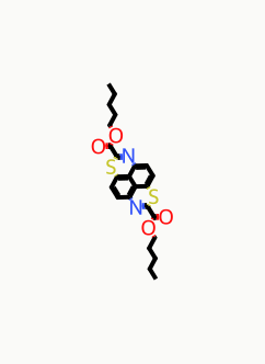 CCCCCOC(=O)C1=Nc2ccc3c4c(ccc(c24)S1)N=C(C(=O)OCCCCC)S3